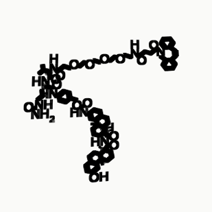 CC(C)[C@H](NC(=O)CCOCCOCCOCCOCCNC(=O)CCC(=O)N1Cc2ccccc2C#Cc2ccccc21)C(=O)N[C@@H](CCCNC(N)=O)C(=O)Nc1ccc(COC(=O)Nc2ccc3c(c2)[C@@]2(C)CCC[C@](C)(C(=O)NC(=O)[C@@]4(C)CCC[C@]5(C)c6cc(O)ccc6CCC45)[C@@H]2CC3)cc1